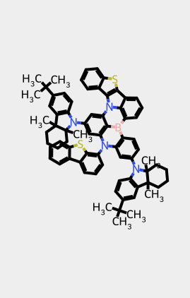 CC(C)(C)c1ccc2c(c1)C1(C)CCCCC1(C)N2c1ccc2c(c1)N(c1cccc3c1sc1ccccc13)c1cc(N3c4ccc(C(C)(C)C)cc4C4(C)CCCCC34C)cc3c1B2c1cccc2c4sc5ccccc5c4n-3c12